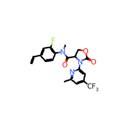 C=Cc1ccc(N(C)C(=O)C2COC(=O)N2c2cc(C(F)(F)F)cc(C)n2)c(F)c1